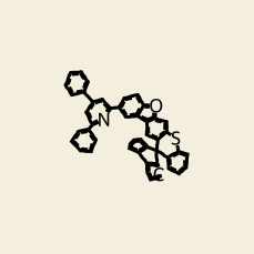 c1ccc(-c2cc(-c3ccccc3)nc(-c3ccc4oc5cc6c(cc5c4c3)C3(c4ccccc4S6)c4ccccc4-c4ccccc43)c2)cc1